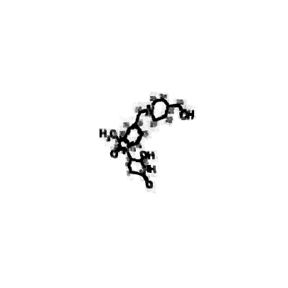 Cn1c(=O)n(C2CCC(=O)NC2O)c2ccc(CN3CCC(CO)CC3)cc21